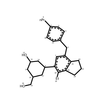 CCCc1ccc(Cc2cc(C3CC(O)CC(CO)C3)c(CC)c3c2CCC3)cc1